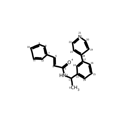 CC(NC(=O)/C=C/c1ccccc1)c1cccc(-c2ccncc2)c1